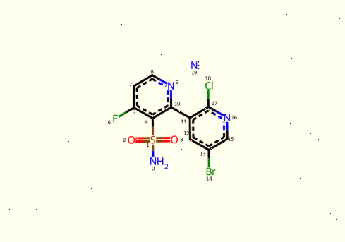 NS(=O)(=O)c1c(F)ccnc1-c1cc(Br)cnc1Cl.[N]